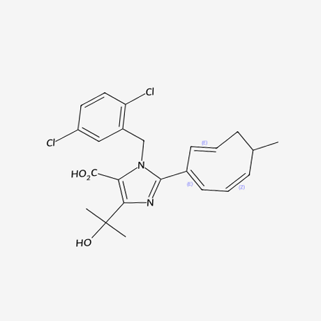 CC1\C=C/C=C(c2nc(C(C)(C)O)c(C(=O)O)n2Cc2cc(Cl)ccc2Cl)\C=C\C1